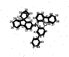 c1ccc(-c2cccc(N(c3ccc4c(c3)C3(CC5CCC3C5)c3ccccc3-4)c3cccc4c3oc3ccccc34)c2)cc1